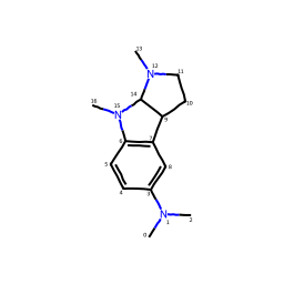 CN(C)c1ccc2c(c1)C1CCN(C)C1N2C